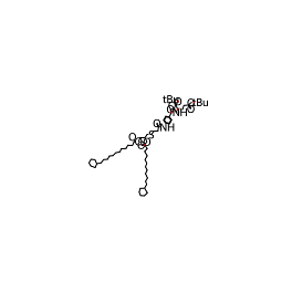 CC(C)(C)OC(=O)CC[C@H](NC(=O)c1ccc(NC(=O)CCSCC(COC(=O)CCCCCCCCCCCC2CCCCC2)OC(=O)CCCCCCCCCCCC2CCCCC2)cc1)C(=O)OC(C)(C)C